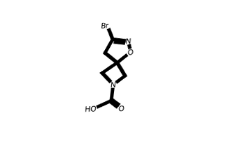 O=C(O)N1CC2(CC(Br)=NO2)C1